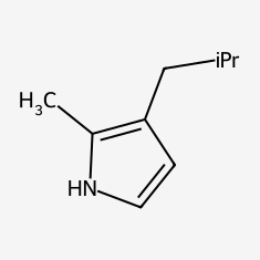 Cc1[nH]ccc1CC(C)C